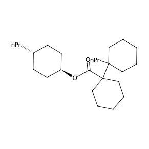 CCCC1(C2(C(=O)O[C@H]3CC[C@H](CCC)CC3)CCCCC2)CCCCC1